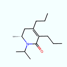 CCCC1=C(CCC)C(=O)N(C(C)C)[C@H](C)C1